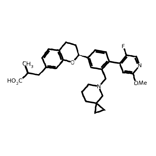 COc1cc(-c2ccc([C@@H]3CCc4ccc(CC(C)C(=O)O)cc4O3)cc2CN2CCCC3(CC3)C2)c(F)cn1